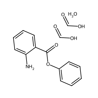 Nc1ccccc1C(=O)Oc1ccccc1.O.O=CO.O=CO